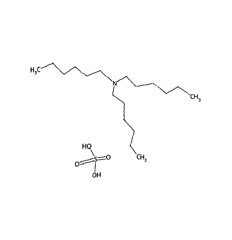 CCCCCCN(CCCCCC)CCCCCC.O=S(=O)(O)O